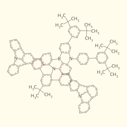 CC(C)(C)c1cc(-c2ccc(N3c4cc(-c5cc(C(C)(C)C)cc(C(C)(C)C)c5)ccc4B4c5ccc(-c6cc7c8ccccc8n8c9ccccc9c(c6)c78)cc5N(c5c(-c6ccccc6)cc(C(C)(C)C)cc5-c5ccccc5)c5cc(-c6ccc7c(c6)c6cccc8c9ccccc9n7c86)cc3c54)cc2)cc(C(C)(C)C)c1